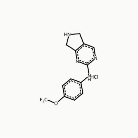 Cl.FC(F)(F)Oc1ccc(Nc2ncc3c(n2)CNC3)cc1